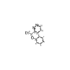 CCC(Oc1ccccc1)c1cccnn1